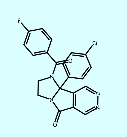 O=C(c1ccc(F)cc1)N1CCN2C(=O)c3cnncc3C12c1ccc(Cl)cc1